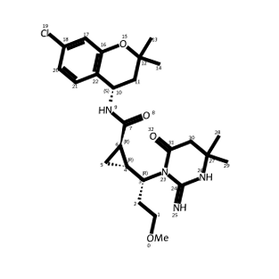 COCC[C@H]([C@@H]1C[C@H]1C(=O)N[C@H]1CC(C)(C)Oc2cc(Cl)ccc21)N1C(=N)NC(C)(C)CC1=O